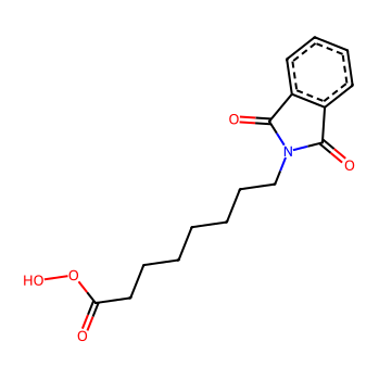 O=C(CCCCCCCN1C(=O)c2ccccc2C1=O)OO